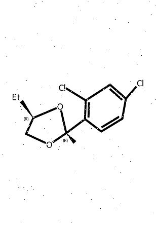 CC[C@@H]1CO[C@@](C)(c2ccc(Cl)cc2Cl)O1